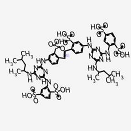 CC(C)CC(C)Nc1nc(Nc2ccc(/C=C/c3ccc(Nc4nc(Nc5cc(S(=O)(=O)O)ccc5S(=O)(=O)O)nc(NC(C)CC(C)C)n4)cc3S(=O)(=O)O)c(S(=O)(=O)O)c2)nc(Nc2cc(S(=O)(=O)O)ccc2S(=O)(=O)O)n1